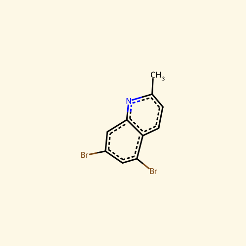 Cc1ccc2c(Br)cc(Br)cc2n1